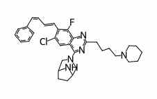 Fc1c(/C=C/C=C\c2ccccc2)c(Cl)cc2c(N3CC4CCC(C3)N4)nc(CCCCN3CCCCC3)nc12